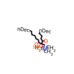 CCCCCCCCCCCCCCCC(=O)C(C[N+](C)(C)C)(O[PH-])C(=O)CCCCCCCCCCCCC